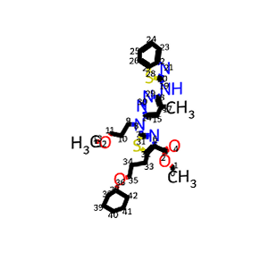 CCOC(=O)c1nc(N(CCCOC)c2cc(C)c(Nc3nc4ccccc4s3)nn2)sc1CCCOC1CCCCC1